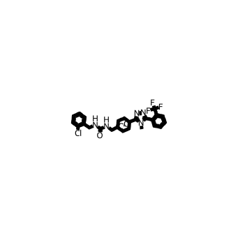 Cn1c(-c2ccccc2C(F)(F)F)nnc1C12CCC(CNC(=O)NCc3ccccc3Cl)(CC1)CC2